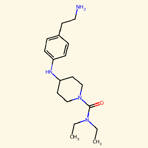 CCN(CC)C(=O)N1CCC(Nc2ccc(CCN)cc2)CC1